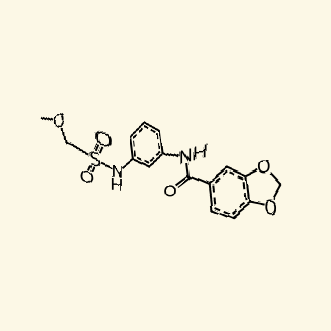 COCS(=O)(=O)Nc1cccc(NC(=O)c2ccc3c(c2)OCO3)c1